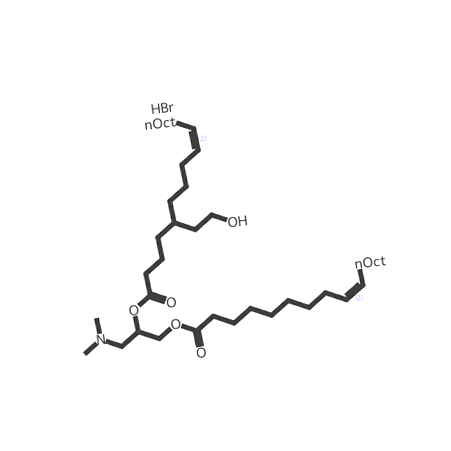 Br.CCCCCCCC/C=C\CCCCCCCC(=O)OCC(CN(C)C)OC(=O)CCCC(CCO)CCC/C=C\CCCCCCCC